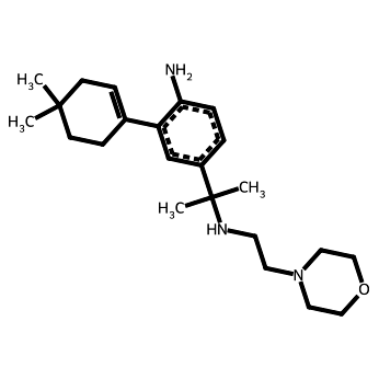 CC1(C)CC=C(c2cc(C(C)(C)NCCN3CCOCC3)ccc2N)CC1